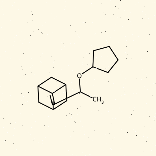 CC(OC1CCCC1)C1=C2C3CC(C1)CC2C3